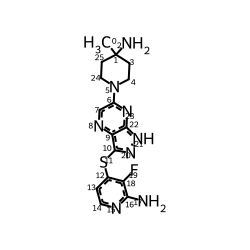 CC1(N)CCN(c2cnc3c(Sc4ccnc(N)c4F)n[nH]c3n2)CC1